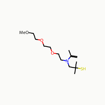 C=C(C)N(CCOCCOCCOC)CC(C)(C)S